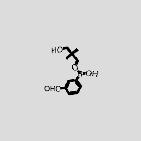 CC(C)(CO)COB(O)c1cccc(C=O)c1